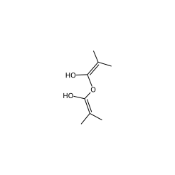 CC(C)=C(O)OC(O)=C(C)C